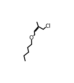 CCCCCOCC=C(C)CCl